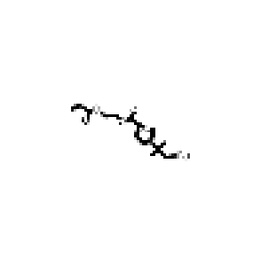 C=CC(=O)OCCOC(=O)c1ccc(C(C)(C)CC(C)(C)C)cc1